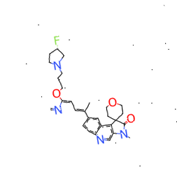 C=N/C(=C\C=C(/C)c1ccc2ncc3c(c2c1)C1(CCOCC1)C(=O)N3C)OCCCN1CC[C@H](F)C1